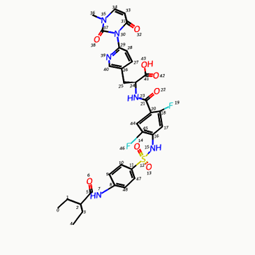 CCC(CC)C(=O)Nc1ccc(S(=O)(=O)Nc2cc(F)c(C(=O)N[C@@H](Cc3ccc(-n4c(=O)ccn(C)c4=O)nc3)C(=O)O)cc2F)cc1